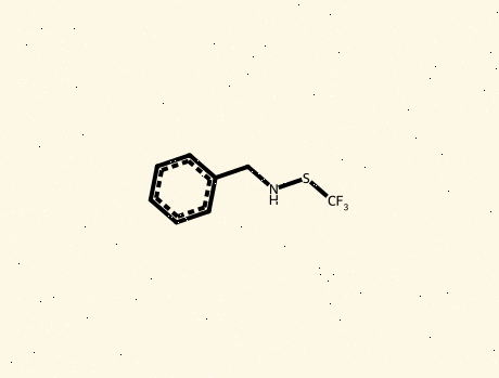 FC(F)(F)SNCc1ccccc1